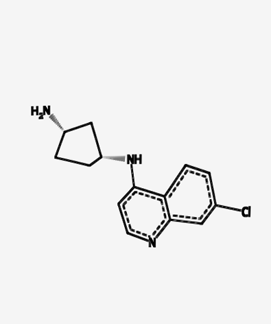 N[C@H]1CC[C@@H](Nc2ccnc3cc(Cl)ccc23)C1